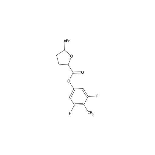 CCCC1CCC(C(=O)Oc2cc(F)c(C(F)(F)F)c(F)c2)O1